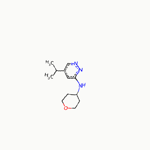 CC(C)c1cnnc(NC2CCOCC2)c1